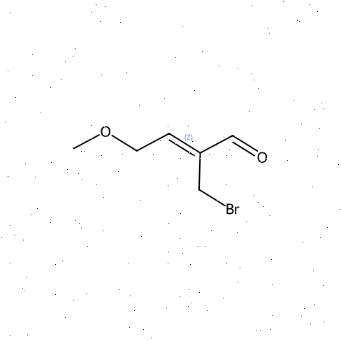 COC/C=C(/C=O)CBr